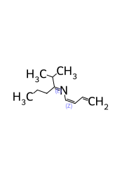 C=C/C=C\N=C(/CCC)C(C)C